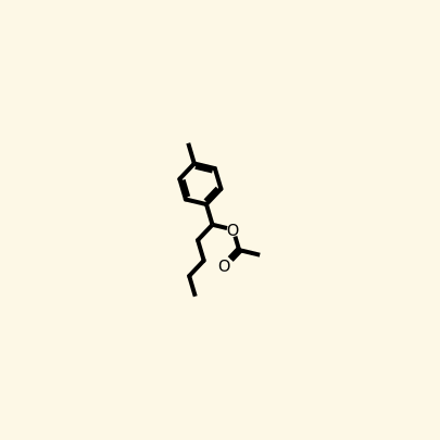 CCCCC(OC(C)=O)c1ccc(C)cc1